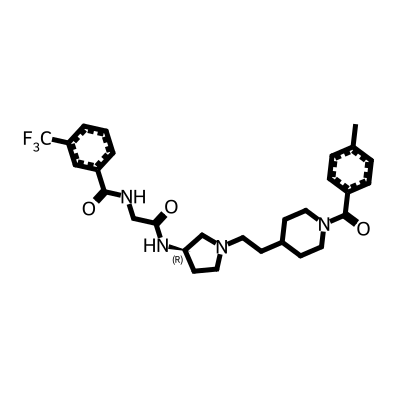 Cc1ccc(C(=O)N2CCC(CCN3CC[C@@H](NC(=O)CNC(=O)c4cccc(C(F)(F)F)c4)C3)CC2)cc1